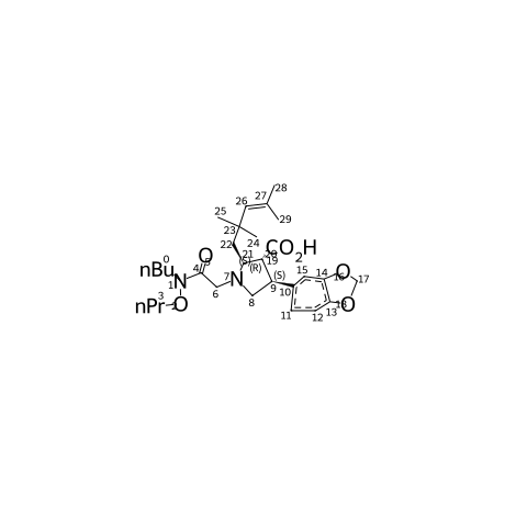 CCCCN(OCCC)C(=O)CN1C[C@H](c2ccc3c(c2)OCO3)[C@@H](C(=O)O)[C@@H]1CC(C)(C)C=C(C)C